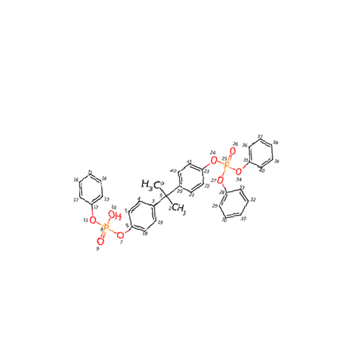 CC(C)(c1ccc(OP(=O)(O)Oc2ccccc2)cc1)c1ccc(OP(=O)(Oc2ccccc2)Oc2ccccc2)cc1